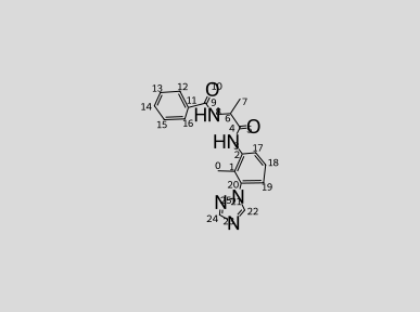 Cc1c(NC(=O)C(C)NC(=O)c2ccccc2)cccc1-n1cncn1